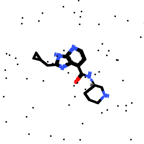 O=C(N[C@H]1CCCNC1)c1ccnc2[nH]c(CC3CC3)nc12